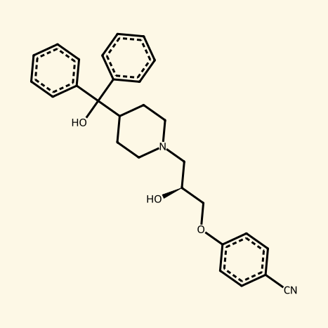 N#Cc1ccc(OC[C@@H](O)CN2CCC(C(O)(c3ccccc3)c3ccccc3)CC2)cc1